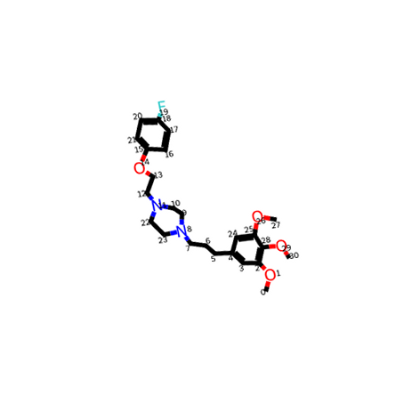 COc1cc(CCCN2CCN(CCOc3ccc(F)cc3)CC2)cc(OC)c1OC